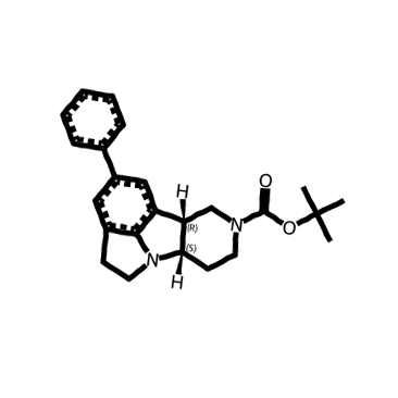 CC(C)(C)OC(=O)N1CC[C@H]2[C@@H](C1)c1cc(-c3ccccc3)cc3c1N2CC3